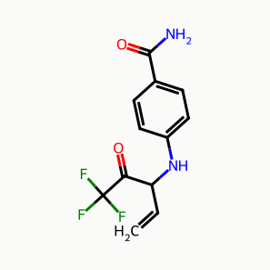 C=CC(Nc1ccc(C(N)=O)cc1)C(=O)C(F)(F)F